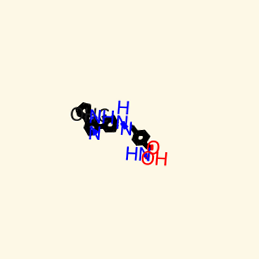 O=Cc1cc(NN=Cc2ccc(C(=O)NO)cc2)ccc1-c1nccc2c1[nH]c1ccccc12